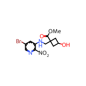 COC(=O)C1(CNc2cc(Br)cnc2[N+](=O)[O-])CC(O)C1